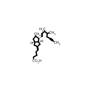 CC#CCC(C)[C@H](C)/C=C/[C@@H]1[C@H]2C/C(=C/CCCC(=O)O)C[C@H]2C[C@H]1C